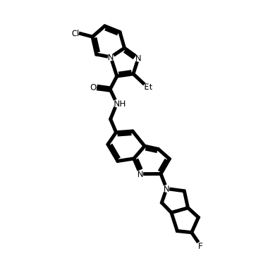 CCc1nc2ccc(Cl)cn2c1C(=O)NCc1ccc2nc(N3CC4CC(F)CC4C3)ccc2c1